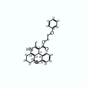 CC1=C(C(=O)OCCOc2ccccc2)C(c2ccccc2Br)C2=C(CCCC2=O)N1